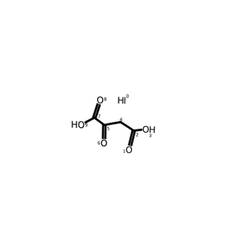 I.O=C(O)CC(=O)C(=O)O